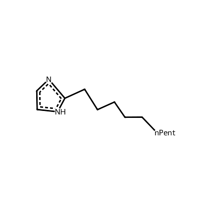 CCCCCCCCCCc1ncc[nH]1